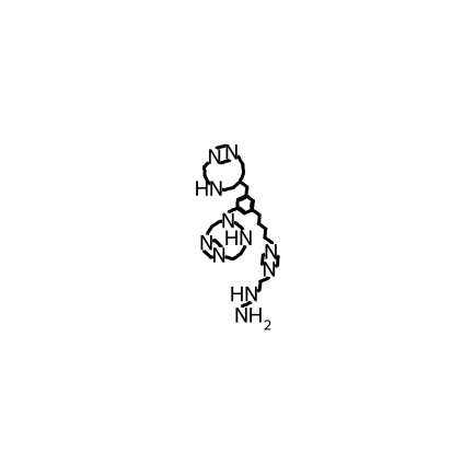 NCCNCCCN1CCN(CCCCCc2cc(CC3CCCN4CCN(CCCNCC3)CC4)cc(CN3CCCN4CCN(CCCNCC3)CC4)c2)CC1